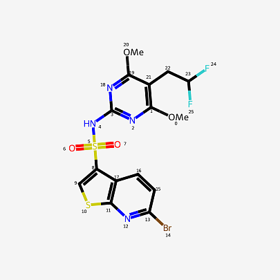 COc1nc(NS(=O)(=O)c2csc3nc(Br)ccc23)nc(OC)c1CC(F)F